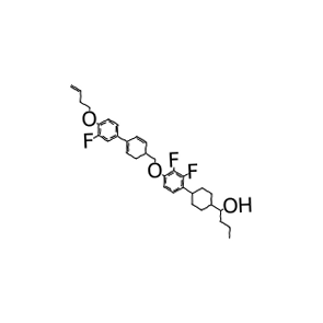 C=CCCOc1ccc(C2=CCC(COc3ccc(C4CCC(C(O)CCC)CC4)c(F)c3F)C=C2)cc1F